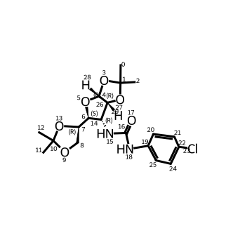 CC1(C)O[C@H]2O[C@H]([C@H]3COC(C)(C)O3)[C@@H](NC(=O)Nc3ccc(Cl)cc3)[C@H]2O1